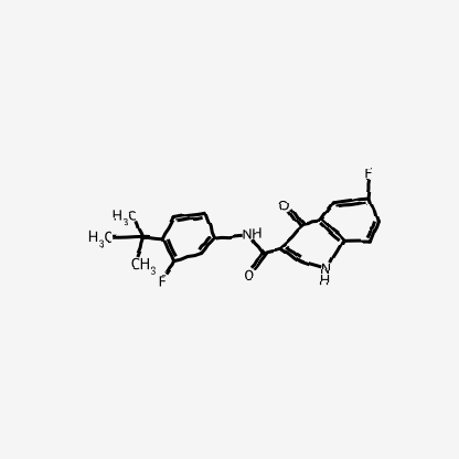 CC(C)(C)c1ccc(NC(=O)c2c[nH]c3ccc(F)cc3c2=O)cc1F